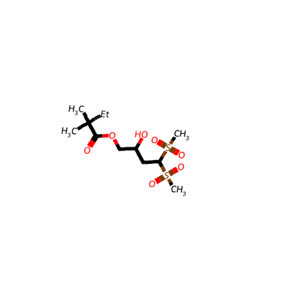 CCC(C)(C)C(=O)OCC(O)CC(S(C)(=O)=O)S(C)(=O)=O